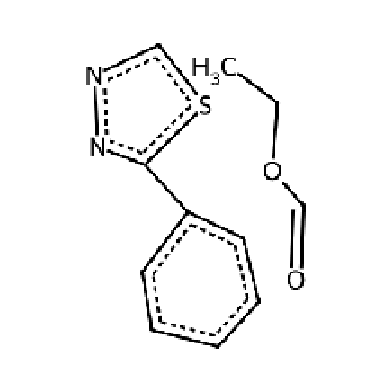 CCOC=O.c1ccc(-c2nncs2)cc1